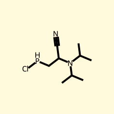 CC(C)N(C(C)C)C(C#N)CPCl